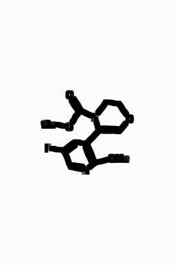 COc1ncc(F)cc1C1=COCCN1C(=O)OC(C)(C)C